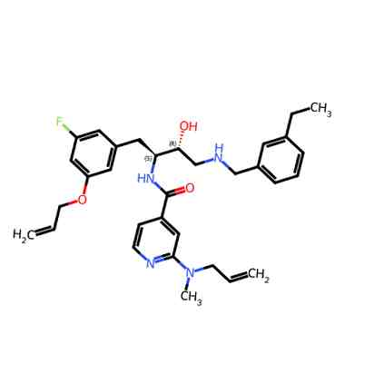 C=CCOc1cc(F)cc(C[C@H](NC(=O)c2ccnc(N(C)CC=C)c2)[C@H](O)CNCc2cccc(CC)c2)c1